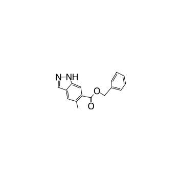 Cc1cc2cn[nH]c2cc1C(=O)OCc1ccccc1